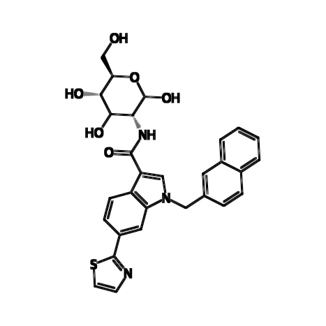 O=C(N[C@H]1C(O)O[C@H](CO)[C@@H](O)C1O)c1cn(Cc2ccc3ccccc3c2)c2cc(-c3nccs3)ccc12